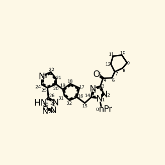 CCCn1nc(C(=O)CC2CCCCC2)nc1Cc1ccc(-c2ccncc2-c2nnn[nH]2)cc1